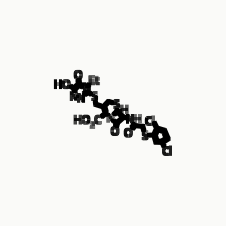 CCn1c(SCC2=C(C(=O)O)N3C(=O)C(NC(=O)CSc4cc(Cl)ccc4Cl)[C@H]3SC2)nnc(O)c1=O